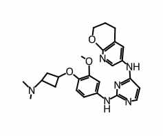 COc1cc(Nc2nccc(Nc3cnc4c(c3)CCCO4)n2)ccc1OC1CC(N(C)C)C1